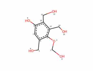 OCOc1c(CO)cc(O)c(CO)c1CO